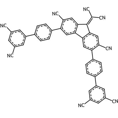 N#CC(C#N)=C1c2cc(C#N)c(-c3ccc(-c4cc(C#N)cc(C#N)c4)cc3)cc2-c2cc(-c3ccc(-c4cc(C#N)cc(C#N)c4)cc3)c(C#N)cc21